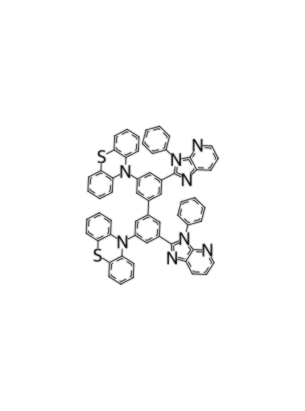 c1ccc(-n2c(-c3cc(-c4cc(-c5nc6cccnc6n5-c5ccccc5)cc(N5c6ccccc6Sc6ccccc65)c4)cc(N4c5ccccc5Sc5ccccc54)c3)nc3cccnc32)cc1